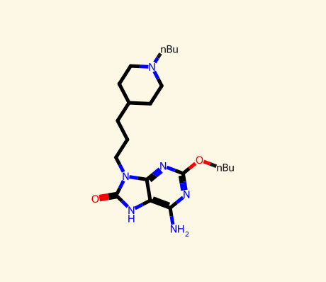 CCCCOc1nc(N)c2[nH]c(=O)n(CCCC3CCN(CCCC)CC3)c2n1